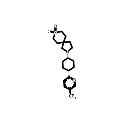 O=S1(=O)CCC2(CCN([C@H]3CC[C@@H](c4ccc(C(F)(F)F)cn4)CC3)C2)CC1